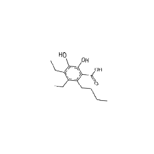 CCCCc1c(CC)c(CC)c(O)c(O)c1C(=O)O